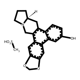 CS(=O)(=O)O.Oc1ccc2c3c(c4cc5c(cc4c2c1)OCO5)CN1CCC[C@H]1C3